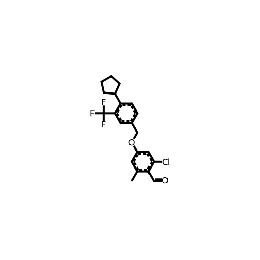 Cc1cc(OCc2ccc(C3CCCC3)c(C(F)(F)F)c2)cc(Cl)c1C=O